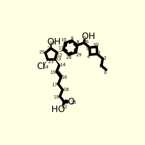 CCCC1CC(C(O)c2ccc([C@@H]3[C@@H](CC=CCCCC(=O)O)[C@H](Cl)C[C@H]3O)cc2)C1